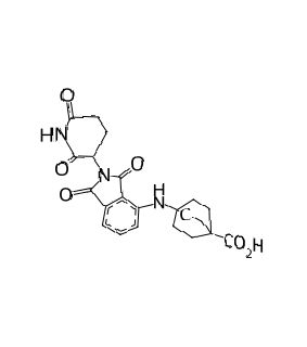 O=C1CCC(N2C(=O)c3cccc(NC45CCC(C(=O)O)(CC4)CC5)c3C2=O)C(=O)N1